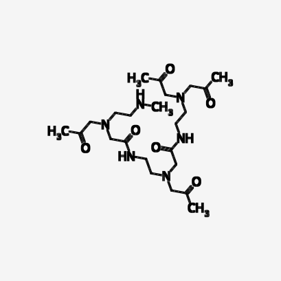 CNCCN(CC(C)=O)CC(=O)NCCN(CC(C)=O)CC(=O)NCCN(CC(C)=O)CC(C)=O